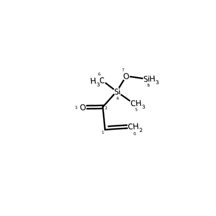 C=CC(=O)[Si](C)(C)O[SiH3]